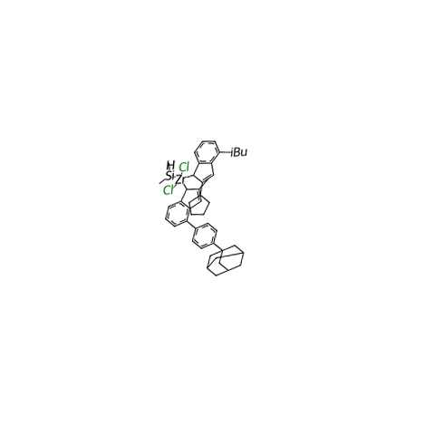 CCC(C)c1cccc2c1C=C(C1CCCC1)[CH]2[Zr]([Cl])([Cl])([CH]1C(C)=Cc2c(-c3ccc(C45CC6CC(CC(C6)C4)C5)cc3)cccc21)[SiH](C)C